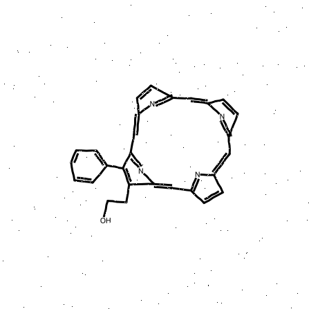 OCCC1=C(c2ccccc2)C2=NC1=CC1=NC(=CC3=NC(=CC4=NC(=C2)C=C4)C=C3)C=C1